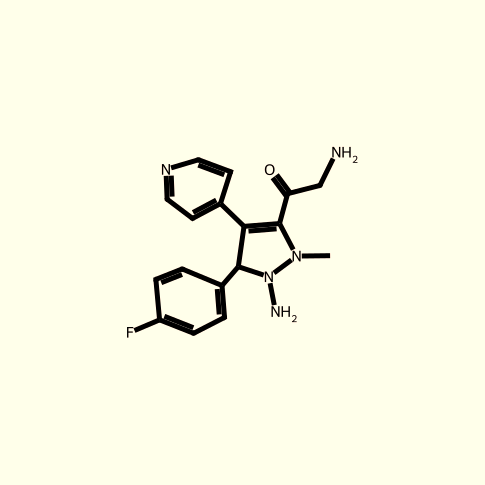 CN1C(C(=O)CN)=C(c2ccncc2)C(c2ccc(F)cc2)N1N